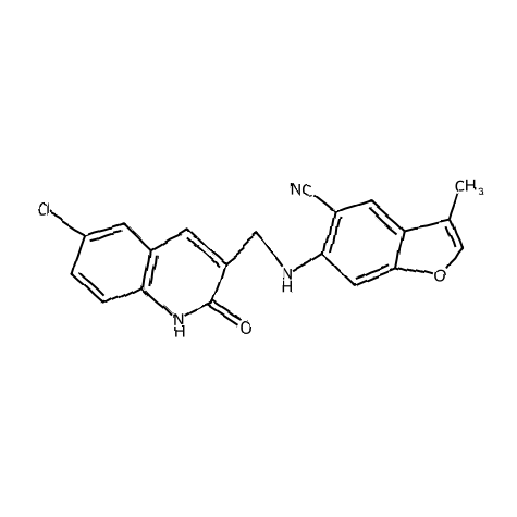 Cc1coc2cc(NCc3cc4cc(Cl)ccc4[nH]c3=O)c(C#N)cc12